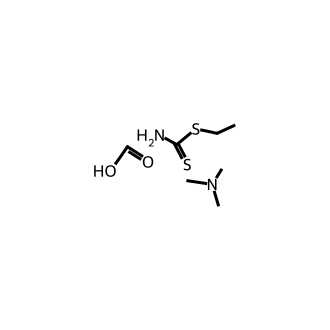 CCSC(N)=S.CN(C)C.O=CO